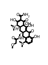 COCC(=O)NC[C@@]12Cc3c(N(C)C)ccc(O)c3C(=O)C1=C(O)[C@]1(O)C(=O)C(C(N)=O)=C(O)[C@@H](N(C)C)[C@@H]1C2